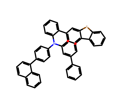 c1ccc(-c2cccc(N(c3ccc(-c4cccc5ccccc45)cc3)c3ccccc3-c3ccc4c(c3)sc3ccccc34)c2)cc1